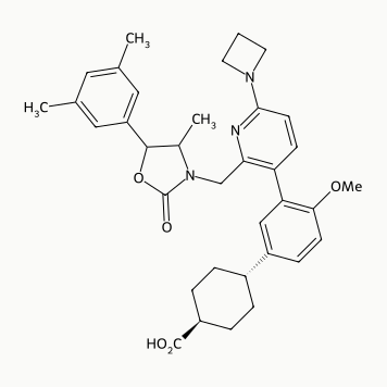 COc1ccc([C@H]2CC[C@H](C(=O)O)CC2)cc1-c1ccc(N2CCC2)nc1CN1C(=O)OC(c2cc(C)cc(C)c2)C1C